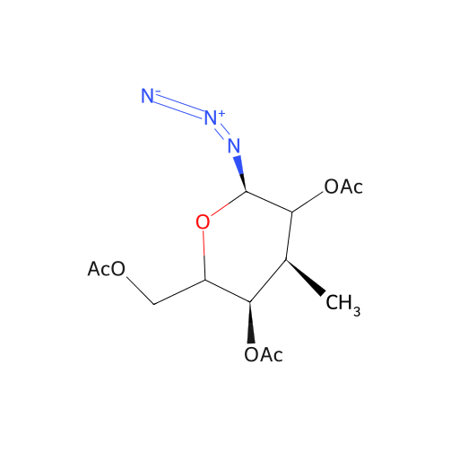 CC(=O)OCC1O[C@@H](N=[N+]=[N-])C(OC(C)=O)[C@@H](C)[C@H]1OC(C)=O